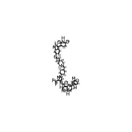 Cn1nc2cc(OC3CC4(CCN(CC5CCC(n6cc(NC(=O)/C(C=N)=C7\N=C(N8C[C@H]9C[C@@H]8CO9)C=CN7)c(C(F)F)n6)CC5)CC4)C3)ccc2c1C1CCC(=O)NC1=O